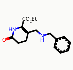 CCOC(=O)C1=C(CNCc2ccccc2)CCC(=O)N1